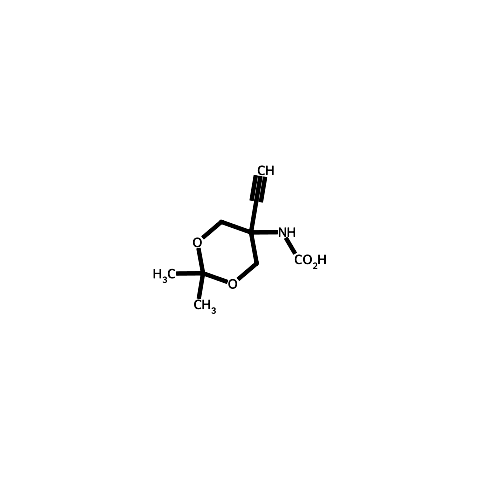 C#CC1(NC(=O)O)COC(C)(C)OC1